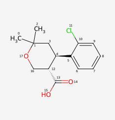 CC1(C)C[C@@H](c2ccccc2Cl)[C@H](C(=O)O)CO1